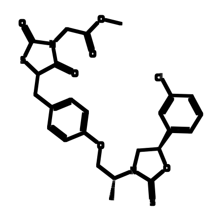 COC(=O)CN1C(=O)SC(Cc2ccc(OC[C@@H](C)N3C[C@@H](c4cccc(Cl)c4)OC3=S)cc2)C1=O